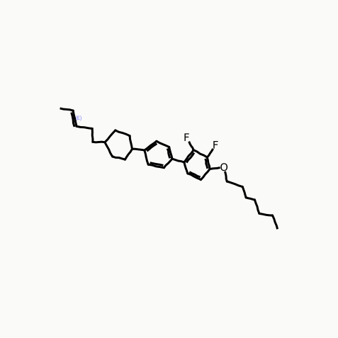 C/C=C/CCC1CCC(c2ccc(-c3ccc(OCCCCCCC)c(F)c3F)cc2)CC1